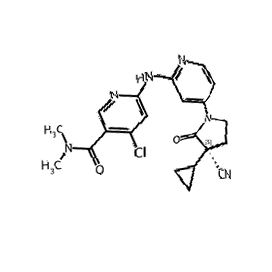 CN(C)C(=O)c1cnc(Nc2cc(N3CC[C@@](C#N)(C4CC4)C3=O)ccn2)cc1Cl